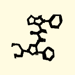 O=C(Nc1c2c(nn1-c1ccccc1)CCC2)NC1CN(C(CF)CF)C[C@H]1c1ccccc1